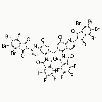 O=C1c2c(Br)c(Br)c(Br)c(Br)c2C(=O)C1c1ccc2c(N3C(=O)c4c(F)c(F)c(F)c(F)c4C3=O)c(Cc3cc(Cl)c4nc(C5C(=O)c6c(Br)c(Br)c(Br)c(Br)c6C5=O)ccc4c3N3C(=O)c4c(F)c(F)c(F)c(F)c4C3=O)cc(Cl)c2n1